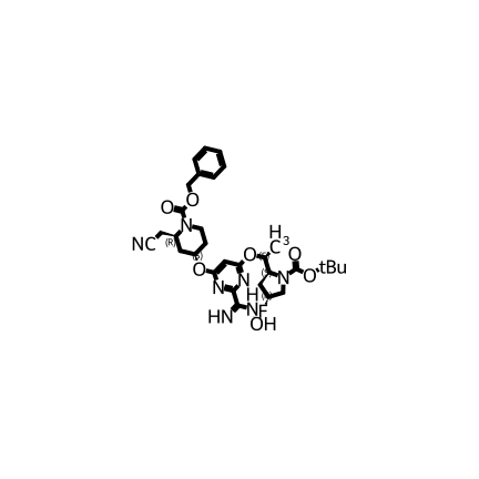 C[C@H](Oc1cc(O[C@H]2CCN(C(=O)OCc3ccccc3)[C@H](CC#N)C2)nc(C(=N)NO)n1)[C@@H]1C[C@@H](F)CN1C(=O)OC(C)(C)C